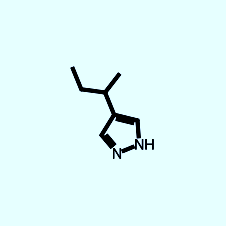 CCC(C)c1cn[nH]c1